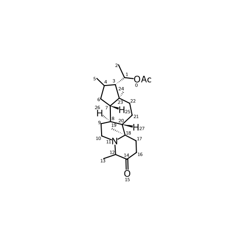 CC(=O)OC(C)[C@H]1C(C)C[C@H]2[C@@H]3CCN4C(C)C(=O)CC[C@]4(C)[C@H]3CC[C@]12C